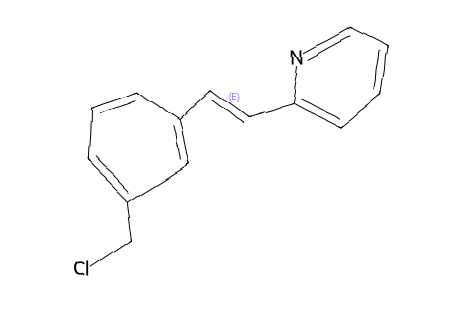 ClCc1cccc(/C=C/c2ccccn2)c1